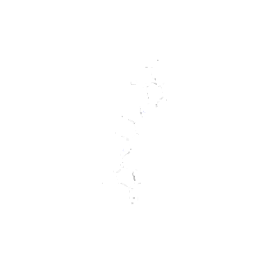 COc1cc(/C=C/C(=O)CC(=O)/C=C/c2cccc(OC)c2O)ccc1O